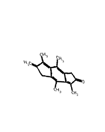 C=C1Cc2c(C)c3c(c(C)c2=C1C)CC(=O)C=3C